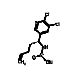 C=CCC[C@@H](N[S@+]([O-])C(C)(C)C)c1cnc(Cl)c(Cl)c1